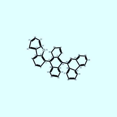 C1=Cc2c(c(-c3cccc4c3oc3ccccc34)c3ccccc3c2-c2cc3ccccc3c3ccccc23)CC1